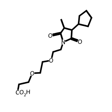 CC1C(=O)N(CCOCCOCCC(=O)O)C(=O)C1C1CCCC1